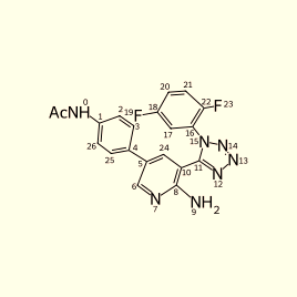 CC(=O)Nc1ccc(-c2cnc(N)c(-c3nnnn3-c3cc(F)ccc3F)c2)cc1